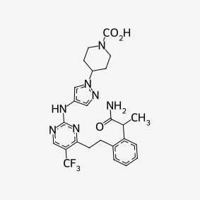 CC(C(N)=O)c1ccccc1CCc1nc(Nc2cnn(C3CCN(C(=O)O)CC3)c2)ncc1C(F)(F)F